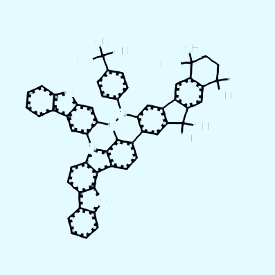 CC(C)(C)c1ccc(N2B3c4cc5oc6ccccc6c5cc4-n4c5ccc6c7ccccc7oc6c5c5ccc(c3c54)-c3cc4c(cc32)-c2cc3c(cc2C4(C)C)C(C)(C)CCC3(C)C)cc1